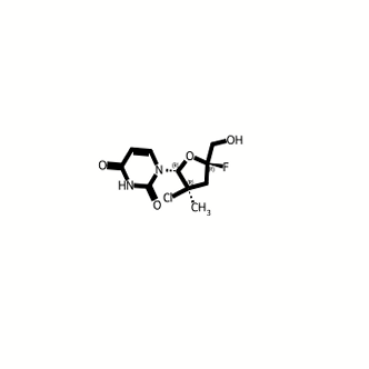 C[C@@]1(Cl)C[C@@](F)(CO)O[C@H]1n1ccc(=O)[nH]c1=O